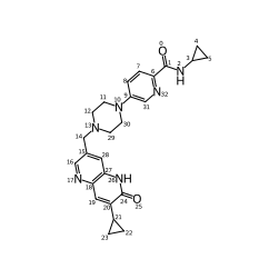 O=C(NC1CC1)c1ccc(N2CCN(Cc3cnc4cc(C5CC5)c(=O)[nH]c4c3)CC2)cn1